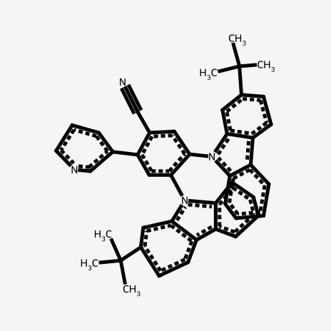 CC(C)(C)c1ccc2c3ccccc3n(-c3cc(C#N)c(-c4cccnc4)cc3-n3c4ccccc4c4ccc(C(C)(C)C)cc43)c2c1